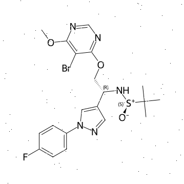 COc1ncnc(OC[C@H](N[S@+]([O-])C(C)(C)C)c2cnn(-c3ccc(F)cc3)c2)c1Br